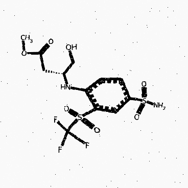 COC(=O)C[C@H](CO)Nc1ccc(S(N)(=O)=O)cc1S(=O)(=O)C(F)(F)F